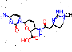 CN1CCC(CC(=O)NC2C=CC(n3ccc(N)nc3=O)OC2C(=O)O)N=C1N